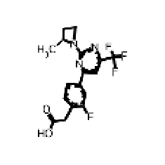 C[C@H]1CCN1c1nc(-c2ccc(CC(=O)O)c(F)c2)cc(C(F)(F)F)n1